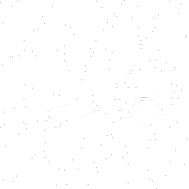 CCCCCCc1ccsc1[C]=O